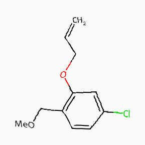 C=CCOc1cc(Cl)ccc1COC